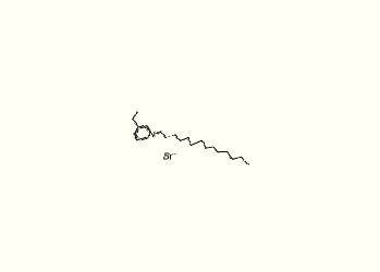 CCCCCCCCCCCCCC[n+]1cccc(CC)c1.[Br-]